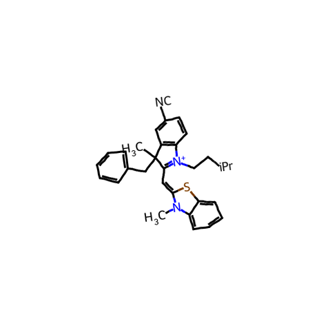 [C-]#[N+]c1ccc2c(c1)C(C)(Cc1ccccc1)C(/C=C1\Sc3ccccc3N1C)=[N+]2CCC(C)C